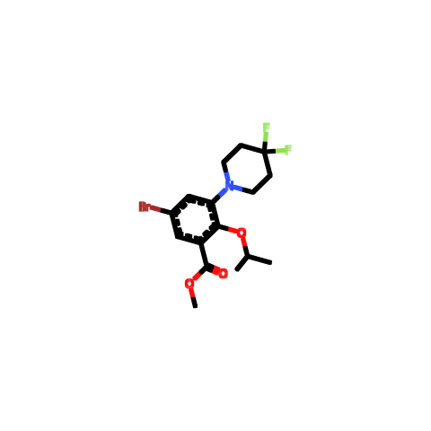 COC(=O)c1cc(Br)cc(N2CCC(F)(F)CC2)c1OC(C)C